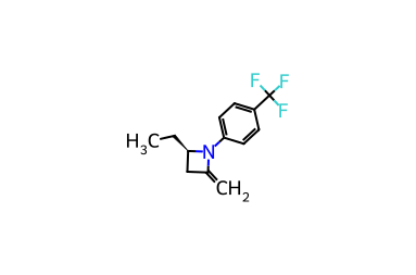 C=C1C[C@@H](CC)N1c1ccc(C(F)(F)F)cc1